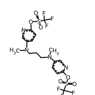 CN(CCCN(C)c1ccc(OS(=O)(=O)C(F)(F)F)nc1)c1ccc(OS(=O)(=O)C(F)(F)F)nc1